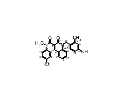 CCc1ccc(N(C)C(=O)c2cc3ccccc3n(Cc3ccc(O)cc3C)c2=O)cc1